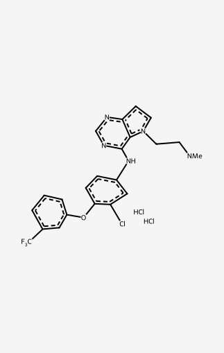 CNCCn1ccc2ncnc(Nc3ccc(Oc4cccc(C(F)(F)F)c4)c(Cl)c3)c21.Cl.Cl